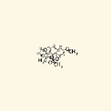 COc1ccc2cc(C3([C@H](C)OS(C)(=O)=O)OCCO3)ccc2c1